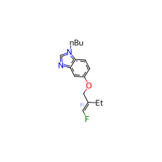 CCCCn1cnc2cc(OC/C(=C/F)CC)ccc21